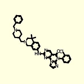 CC1(C)CN(CC2CCN(Cc3ccccc3)CC2)Cc2cc(Nc3ncc4c(=O)n(-c5ccccc5Cl)c5nccn5c4n3)ccc21